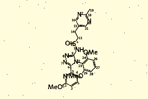 COc1cccc(-c2nnc(N[S+]([O-])CCc3cnc(C)nc3)n2-c2c(OC)cccc2OC)n1